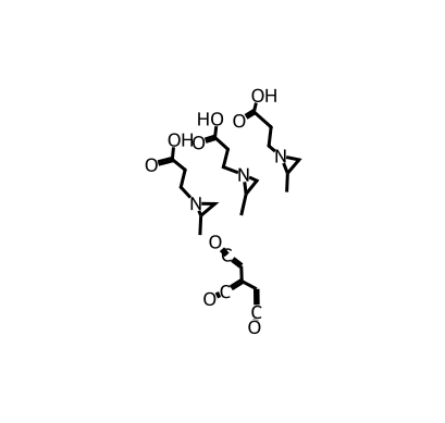 CC1CN1CCC(=O)O.CC1CN1CCC(=O)O.CC1CN1CCC(=O)O.O=C=CC(=C=O)C=C=O